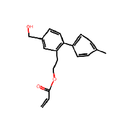 C=CC(=O)OCCc1cc(CO)ccc1-c1ccc(C)cc1